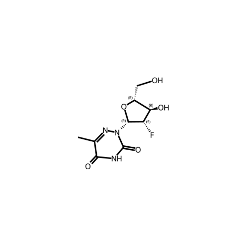 Cc1nn([C@@H]2O[C@H](CO)[C@@H](O)[C@@H]2F)c(=O)[nH]c1=O